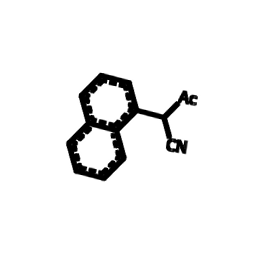 CC(=O)C(C#N)c1cccc2ccccc12